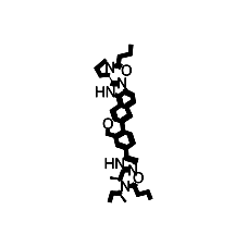 CCCC(=O)N1CCC[C@H]1c1nc2ccc3cc4c(cc3c2[nH]1)OCc1cc(-c2cnc([C@H](C)N(C(=O)CCC)[C@@H](C)CC)[nH]2)ccc1-4